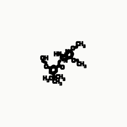 CCOc1cc(OCC)c2nn(CC(=O)c3cc(OCCO)cc(C(C)(C)C)c3)c(=N)n2n1